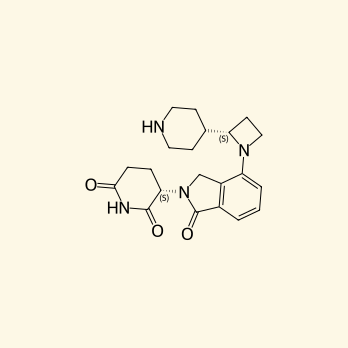 O=C1CC[C@H](N2Cc3c(cccc3N3CC[C@H]3C3CCNCC3)C2=O)C(=O)N1